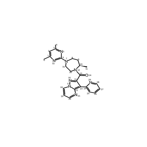 Cc1cc(C)nc(N2CC[C@@H](C)N(C(=O)c3nn4cccnc4c3-c3ccccn3)CC2)n1